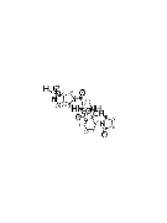 Cc1c(N2CCCC2=O)cccc1S(=O)(=O)N[C@@H](CN)C(=O)N1Cc2cnn(C)c2C1